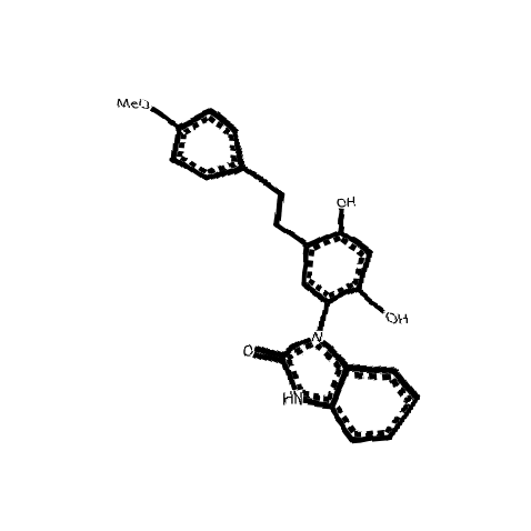 COc1ccc(CCc2cc(-n3c(=O)[nH]c4ccccc43)c(O)cc2O)cc1